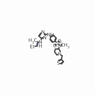 CC/C=C(\C)Nc1ccnc(Nc2ccc(S(=O)(=O)N(C)C3CCCN(Cc4ccsc4)C3)cc2)n1